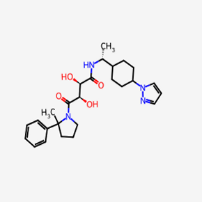 C[C@@H](NC(=O)[C@H](O)[C@@H](O)C(=O)N1CCCC1(C)c1ccccc1)C1CCC(n2cccn2)CC1